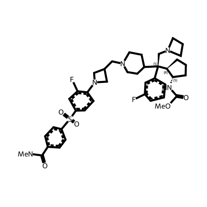 CNC(=O)c1ccc(S(=O)(=O)c2ccc(N3CC(CN4CCC([C@@](CN5CCC5)(c5cccc(F)c5)[C@H]5CCC[C@@H]5NC(=O)OC)CC4)C3)c(F)c2)cc1